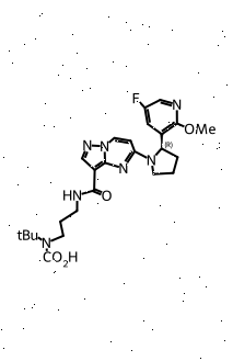 COc1ncc(F)cc1[C@H]1CCCN1c1ccn2ncc(C(=O)NCCCN(C(=O)O)C(C)(C)C)c2n1